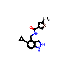 Cc1cc(C(=O)NCc2c(C3CC3)ccc3c2CNN3)cs1